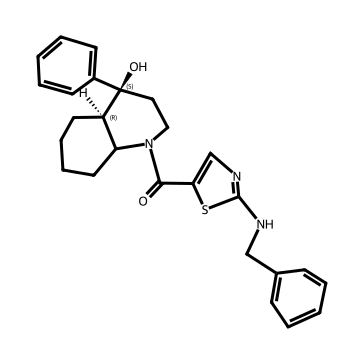 O=C(c1cnc(NCc2ccccc2)s1)N1CC[C@@](O)(c2ccccc2)[C@@H]2CCCCC21